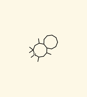 CC1CC(C)N(C)C(C)(C)CC(C)C2CCCCCCCC12